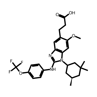 COc1cc2c(cc1CCC(=O)O)nc(Nc1ccc(OC(F)(F)F)cc1)n2C1C[C@H](C)CC(C)(C)C1